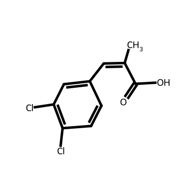 CC(=Cc1ccc(Cl)c(Cl)c1)C(=O)O